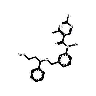 C=C(CC)/N=C\C(C(=O)N(CCC)c1cccc(COC(CCNC)c2ccccc2)c1)=C(\C)C(C)CC